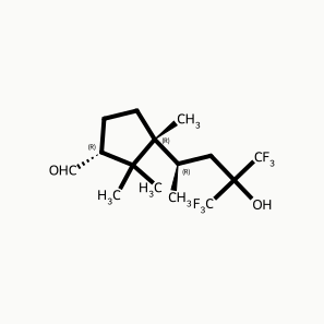 C[C@H](CC(O)(C(F)(F)F)C(F)(F)F)[C@@]1(C)CC[C@@H](C=O)C1(C)C